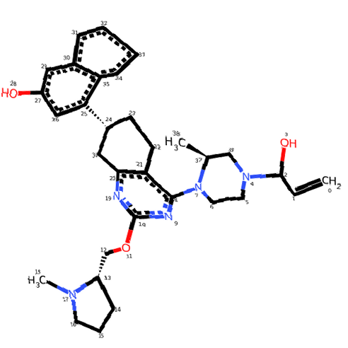 C=CC(O)N1CCN(c2nc(OC[C@@H]3CCCN3C)nc3c2CC[C@@H](c2cc(O)cc4ccccc24)C3)[C@@H](C)C1